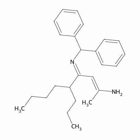 CCCCC(CCC)C(/C=C(\C)N)=N/C(c1ccccc1)c1ccccc1